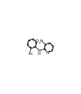 CC(=O)c1ccccc1Nc1ncccc1[N+](=O)[O-]